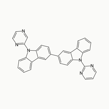 c1cnc(-n2c3ccccc3c3cc(-c4ccc5c(c4)c4ccccc4n5-c4cnccn4)ccc32)nc1